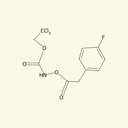 O=C(Cc1ccc(F)cc1)ONC(=O)OCC(Cl)(Cl)Cl